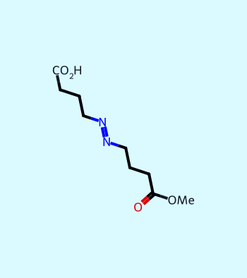 COC(=O)CCCN=NCCCC(=O)O